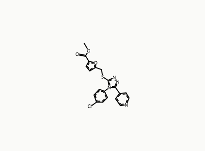 COC(=O)c1ccc(CSc2nnc(-c3ccncc3)n2-c2ccc(Cl)cc2)o1